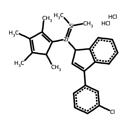 CC1=C(C)C(C)[C]([Zr]([CH]2C=C(c3cccc(Cl)c3)c3ccccc32)=[Si](C)C)=C1C.Cl.Cl